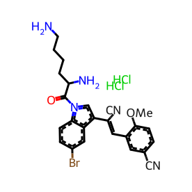 COc1ccc(C#N)cc1C=C(C#N)c1cn(C(=O)C(N)CCCCN)c2ccc(Br)cc12.Cl.Cl